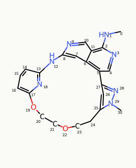 CNc1ncc2c3cc(ncc13)Nc1cccc(n1)OCCOCCc1cc-2nn1C